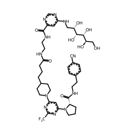 N#Cc1ccc(CCNC(=O)[C@@H]2CCCN2c2cc(N3CCC(CCCC(=O)NCCNC(=O)c4cc(NC[C@H](O)[C@@H](O)[C@H](O)[C@H](O)CO)ncn4)CC3)nc(C(F)(F)F)n2)cc1